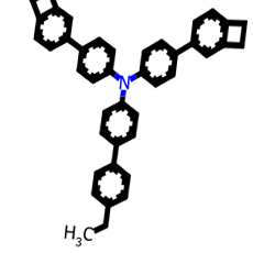 CCc1ccc(-c2ccc(N(c3ccc(-c4ccc5c(c4)CC5)cc3)c3ccc(-c4ccc5c(c4)CC5)cc3)cc2)cc1